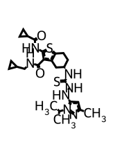 Cc1cc(NNC(=S)N[C@H]2CCc3sc(NC(=O)C4CC4)c(C(=O)NCC4CC4)c3C2)n(C(C)C)n1